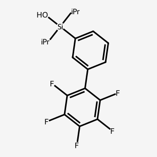 CC(C)[Si](O)(c1cccc(-c2c(F)c(F)c(F)c(F)c2F)c1)C(C)C